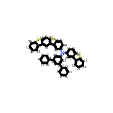 c1ccc(-c2cc(-c3ccccc3)cc(N(c3ccc4sc5ccccc5c4c3)c3ccc4sc5cc6sc7ccccc7c6cc5c4c3)c2)cc1